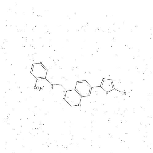 N#Cc1ccc(-c2ccc3c(c2)OCC[C@@H]3CNc2cnccc2C(=O)O)s1